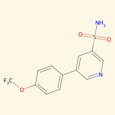 NS(=O)(=O)c1cncc(-c2ccc(OC(F)(F)F)cc2)c1